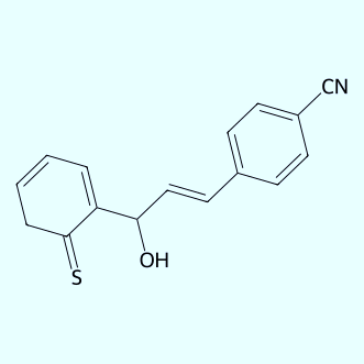 N#Cc1ccc(C=CC(O)C2=CC=CCC2=S)cc1